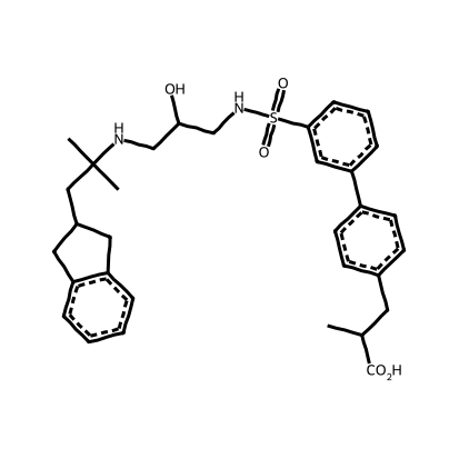 CC(Cc1ccc(-c2cccc(S(=O)(=O)NCC(O)CNC(C)(C)CC3Cc4ccccc4C3)c2)cc1)C(=O)O